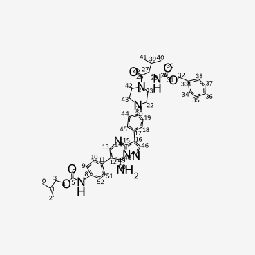 CC(C)COC(=O)Nc1ccc(-c2cnc3c(-c4ccc(N5CCN(C(=O)[C@@H](NC(=O)OCc6ccccc6)C(C)C)CC5)cc4)cnn3c2N)cc1